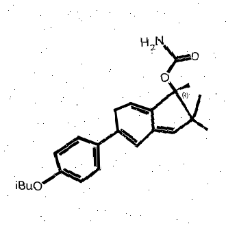 CC(C)COc1ccc(C2=CC3=CC(C)(C)[C@@](C)(OC(N)=O)C3=CC2)cc1